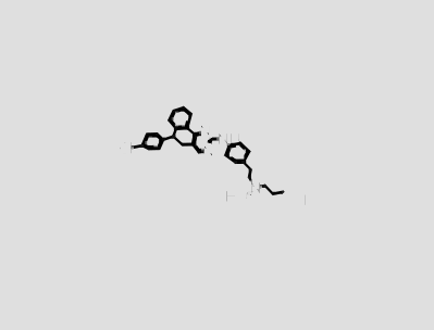 CCCCN(C)CCc1ccc(Nc2ncc3c(n2)-c2ccccc2C(c2ccc(Cl)cc2)C3)cc1